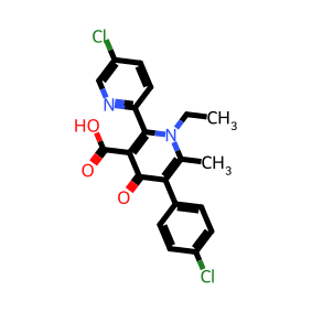 CCn1c(C)c(-c2ccc(Cl)cc2)c(=O)c(C(=O)O)c1-c1ccc(Cl)cn1